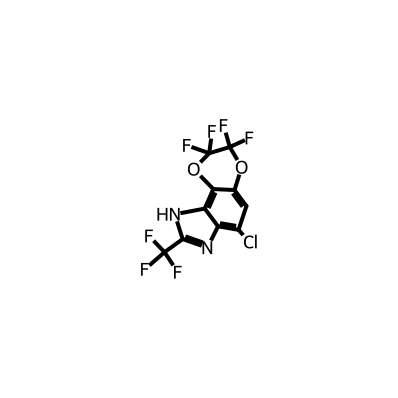 FC(F)(F)c1nc2c(Cl)cc3c(c2[nH]1)OC(F)(F)C(F)(F)O3